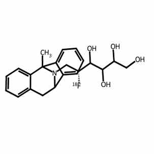 CC12c3ccccc3CC(c3ccccc31)N2C[C@@H]([18F])C(O)C(O)C(O)CO